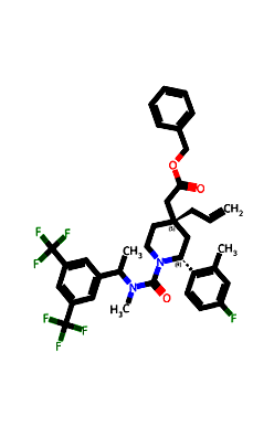 C=CC[C@]1(CC(=O)OCc2ccccc2)CCN(C(=O)N(C)C(C)c2cc(C(F)(F)F)cc(C(F)(F)F)c2)[C@@H](c2ccc(F)cc2C)C1